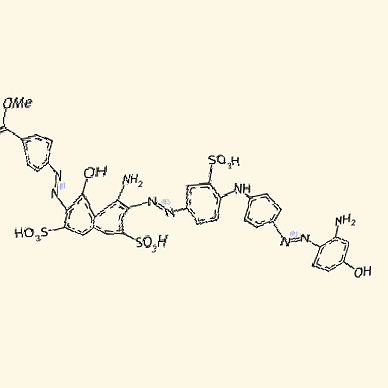 COC(=O)c1ccc(/N=N/c2c(S(=O)(=O)O)cc3cc(S(=O)(=O)O)c(/N=N/c4ccc(Nc5ccc(/N=N/c6ccc(O)cc6N)cc5)c(S(=O)(=O)O)c4)c(N)c3c2O)cc1